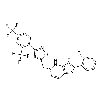 Fc1ccccc1-c1cc2c([nH]1)NN(Cc1cc(-c3ccc(C(F)(F)F)cc3C(F)(F)F)no1)C=C2